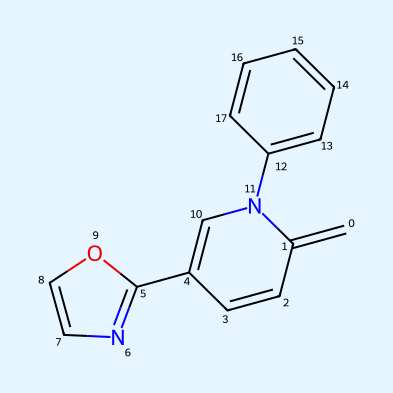 C=C1C=CC(c2ncco2)=CN1c1ccccc1